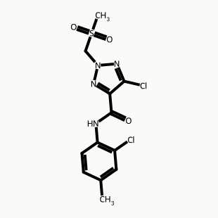 Cc1ccc(NC(=O)c2nn(CS(C)(=O)=O)nc2Cl)c(Cl)c1